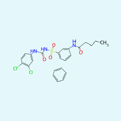 CCCCC(=O)Nc1cccc(S(=O)(=O)NC(=O)Nc2ccc(Cl)c(Cl)c2)c1.c1ccccc1